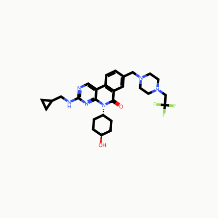 O=c1c2cc(CN3CCN(CC(F)(F)F)CC3)ccc2c2cnc(NCC3CC3)nc2n1[C@H]1CC[C@H](O)CC1